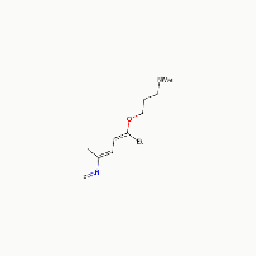 C=N/C(C)=C/C=C(\CC)OCCCNC